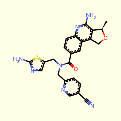 C[C@H]1OCc2c1c(N)nc1ccc(C(=O)N(Cc3ccc(C#N)cn3)Cc3cnc(N)s3)cc21